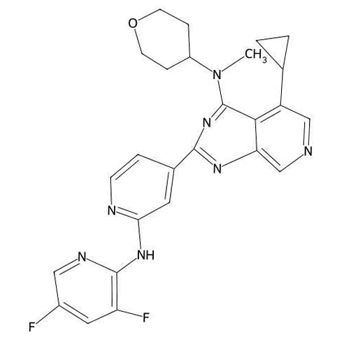 CN(c1nc(-c2ccnc(Nc3ncc(F)cc3F)c2)nc2cncc(C3CC3)c12)C1CCOCC1